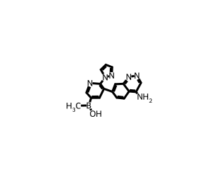 CB(O)c1cnc(-n2cccn2)c(-c2ccc3c(N)cnnc3c2)c1